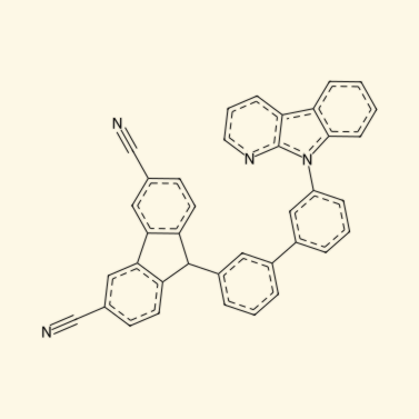 N#Cc1ccc2c(c1)-c1cc(C#N)ccc1C2c1cccc(-c2cccc(-n3c4ccccc4c4cccnc43)c2)c1